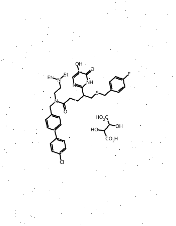 CCN(CC)CCN(Cc1ccc(-c2ccc(Cl)cc2)cc1)C(=O)CCC(CSCc1ccc(F)cc1)c1ncc(O)c(=O)[nH]1.O=C(O)C(O)C(O)C(=O)O